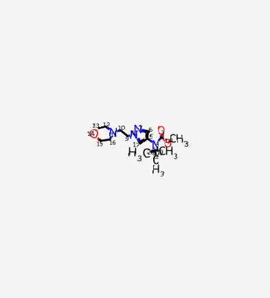 COC(=O)N(c1cnn(CCN2CCOCC2)c1)C(C)(C)C